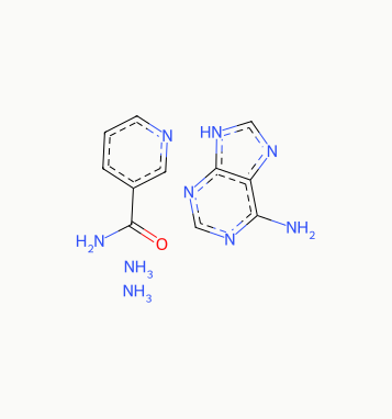 N.N.NC(=O)c1cccnc1.Nc1ncnc2[nH]cnc12